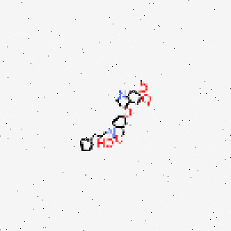 COc1cc2nccc(Oc3ccc(N(CCCc4ccccc4)C(=O)O)c(C)c3C)c2cc1OC